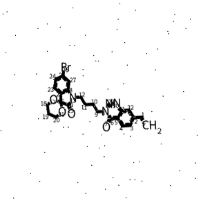 C=Cc1ccc2c(=O)n(CCCCN3C(=O)C4(OCCCO4)c4ccc(Br)cc43)nnc2c1